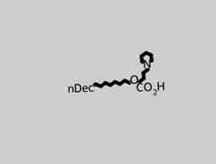 CCCCCCCCCCCCCCCCCCOC(CCCN1CCCCC1)C(=O)O